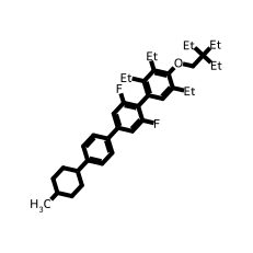 CCc1cc(-c2c(F)cc(-c3ccc(C4CCC(C)CC4)cc3)cc2F)c(CC)c(CC)c1OCC(CC)(CC)CC